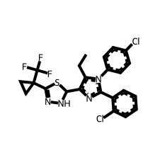 CCc1c(C2NN=C(C3(C(F)(F)F)CC3)S2)nc(-c2ccccc2Cl)n1-c1ccc(Cl)cc1